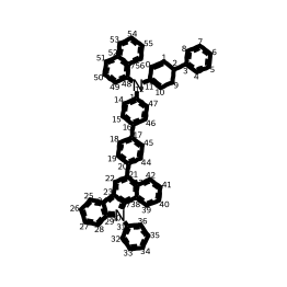 C1=CC(c2ccccc2)CC=C1N(c1ccc(-c2ccc(-c3cc4c5ccccc5n(-c5ccccc5)c4c4ccccc34)cc2)cc1)c1cccc2ccccc12